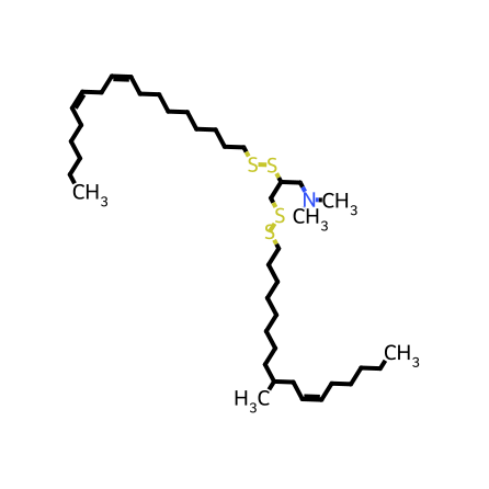 CCCCC/C=C\C/C=C\CCCCCCCCSSC(CSSCCCCCCCCC(C)C/C=C\CCCCC)CN(C)C